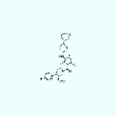 Cc1cc(C)c(C(=O)N2CCN(c3ccc(F)cn3)[C@H](CO)C2)c(C)c1NC1CCN(c2cnccn2)CC1